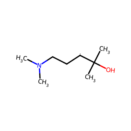 CN(C)CC[CH]C(C)(C)O